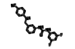 N#Cc1ccc(NCc2cccc(NC(=O)Nc3cc(F)cc(F)c3)c2)cc1